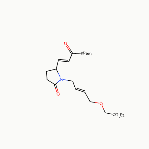 CCCCCC(=O)C=CC1CCC(=O)N1CC=CCOCC(=O)OCC